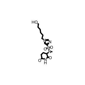 CN(C1CCC(=O)NC1=O)S(=O)(=O)c1cn(CCCCCCO)cn1